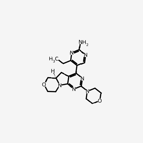 CCc1nc(N)ncc1-c1nc(N2CCOCC2)nc2c1C[C@@H]1COCCN21